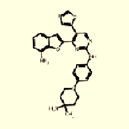 CC1(N)CCN(c2ccc(Nc3ncc(-c4cnco4)c(-c4cc5cccc(N)c5o4)n3)cc2)CC1